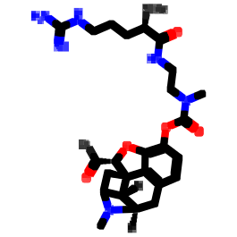 CCC(=O)[C@@H]1Oc2c(OC(=O)N(C)CCNC(=O)[C@@H](CCCNC(=N)N)NC(C)=O)ccc3c2[C@@]12CC1[C@H]2[C@@H](C3)N1C